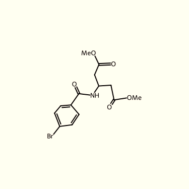 COC(=O)CC(CC(=O)OC)NC(=O)c1ccc(Br)cc1